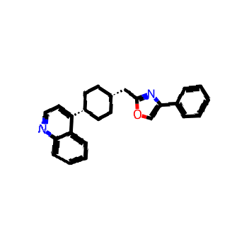 c1ccc(-c2coc(C[C@H]3CC[C@@H](c4ccnc5ccccc54)CC3)n2)cc1